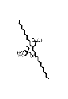 CCC(CO)(CO)CO.CCCCCCCCCCCCC(CCCCCCCCCC)CC(=O)O